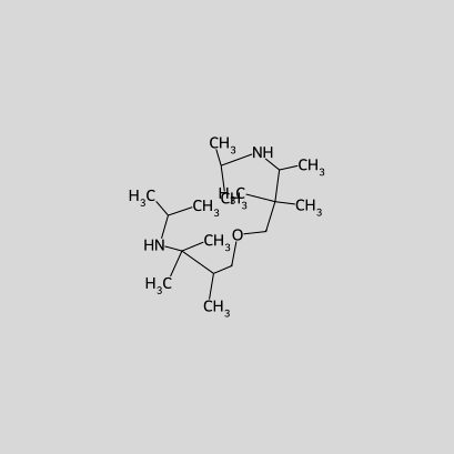 CC(C)NC(C)C(C)(C)COCC(C)C(C)(C)NC(C)C